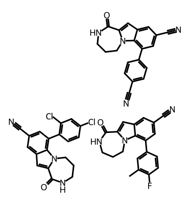 Cc1cc(-c2cc(C#N)cc3cc4n(c23)CCCNC4=O)ccc1F.N#Cc1cc(-c2ccc(Cl)cc2Cl)c2c(c1)cc1n2CCCNC1=O.N#Cc1ccc(-c2cc(C#N)cc3cc4n(c23)CCCNC4=O)cc1